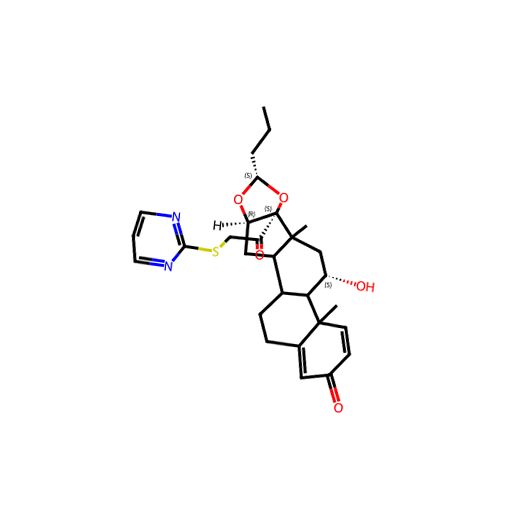 CCC[C@H]1O[C@@H]2CC3C4CCC5=CC(=O)C=CC5(C)C4[C@@H](O)CC3(C)[C@]2(C(=O)CSc2ncccn2)O1